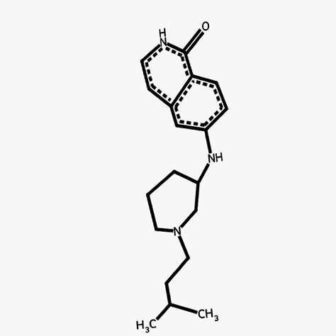 CC(C)CCN1CCCC(Nc2ccc3c(=O)[nH]ccc3c2)C1